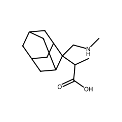 CNCC1(C(C)C(=O)O)C2CC3CC(C2)CC1C3